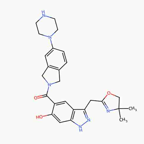 CC1(C)COC(Cc2n[nH]c3cc(O)c(C(=O)N4Cc5ccc(N6CCNCC6)cc5C4)cc23)=N1